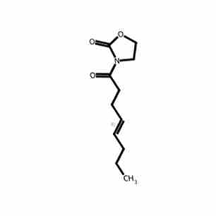 CCC/C=C/CCC(=O)N1CCOC1=O